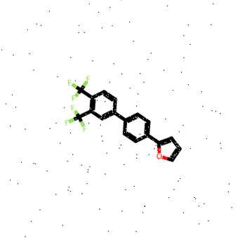 FC(F)(F)c1ccc(-c2ccc(-c3ccco3)cc2)cc1C(F)(F)F